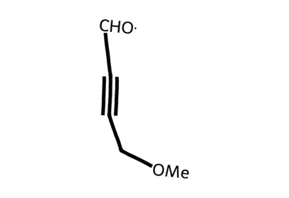 COCC#C[C]=O